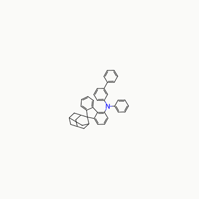 c1ccc(-c2cccc(N(c3ccccc3)c3cccc4c3-c3ccccc3C43C4CC5CC(C4)CC3C5)c2)cc1